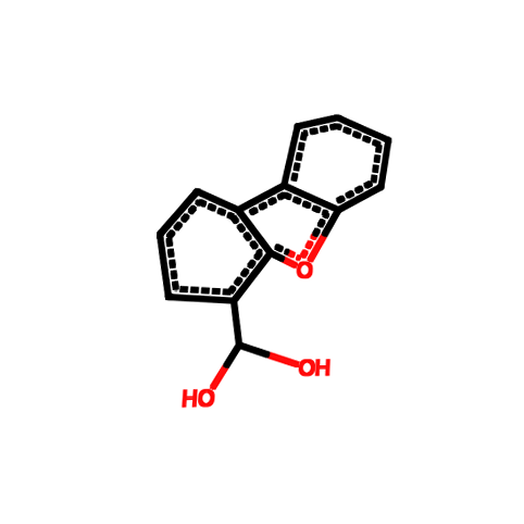 OC(O)c1cccc2c1oc1ccccc12